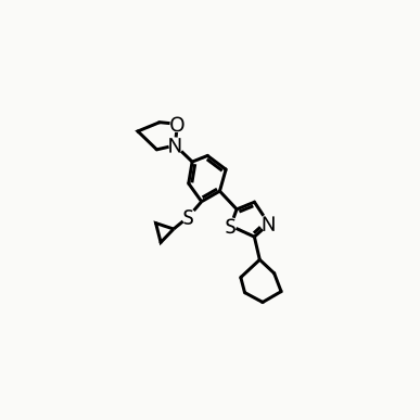 c1cc(-c2cnc(C3CCCCC3)s2)c(SC2CC2)cc1N1CCCO1